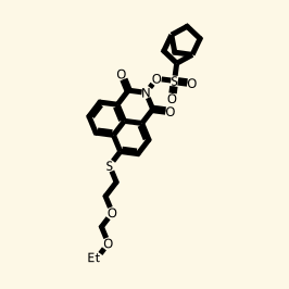 CCOCOCCSc1ccc2c3c(cccc13)C(=O)N(OS(=O)(=O)C1CC3CCC1C3)C2=O